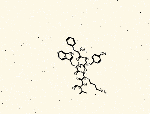 CC(C)[C@@H]([C]=O)NC(=O)[C@H](CCCCN)NC(=O)[C@@H](Cc1c[nH]c2ccccc12)NC(=O)[C@H](Cc1ccc(O)cc1)NC(=O)[C@@H](N)Cc1ccccc1